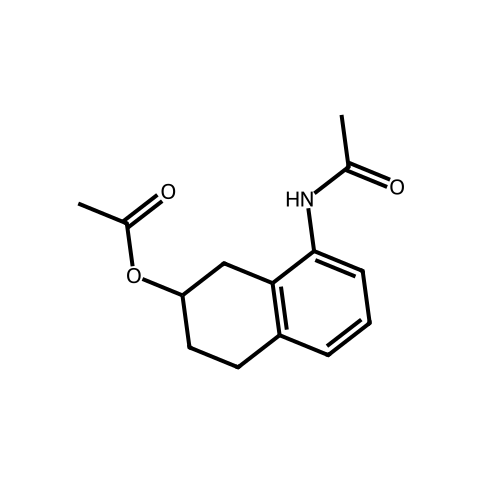 CC(=O)Nc1cccc2c1CC(OC(C)=O)CC2